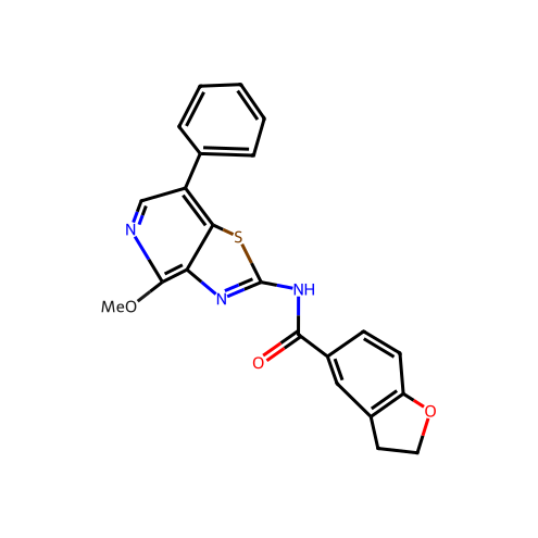 COc1ncc(-c2ccccc2)c2sc(NC(=O)c3ccc4c(c3)CCO4)nc12